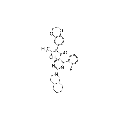 CC(C)N(C(=O)c1cnc(N2CCC3CCCCC3C2)nc1-c1ccccc1F)c1ccc2c(c1)OCCO2